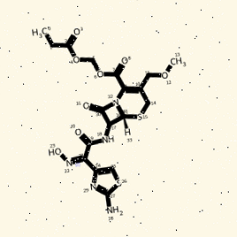 CCC(=O)OCOC(=O)C1=C(COC)CS[C@@H]2C(NC(=O)/C(=N\O)c3csc(N)n3)C(=O)N12